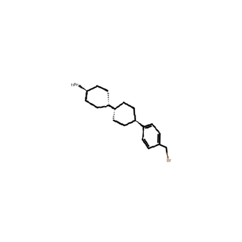 CCC[C@H]1CC[C@H]([C@H]2CC[C@H](c3ccc(CBr)cc3)CC2)CC1